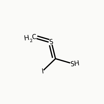 C=S=C(S)I